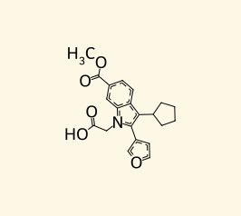 COC(=O)c1ccc2c(C3CCCC3)c(-c3ccoc3)n(CC(=O)O)c2c1